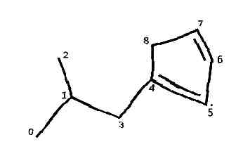 CC(C)CC1=[C]C=CC1